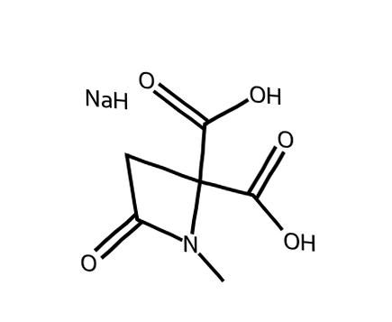 CN1C(=O)CC1(C(=O)O)C(=O)O.[NaH]